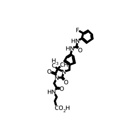 CC1(C)C(=O)N(CC(=O)NCCC(=O)O)C(=O)N1Cc1ccc(NC(=O)Nc2ccccc2F)cc1